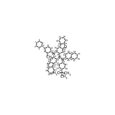 Cc1cc(-c2ccccc2)ccc1N1c2cc3sc4ccccc4c3cc2B2c3c1cc1c(oc4ccccc41)c3-c1cc3ccccc3cc1N2c1ccc(C(C)(C)C)cc1